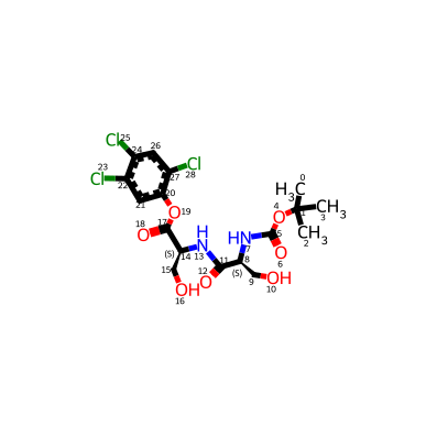 CC(C)(C)OC(=O)N[C@@H](CO)C(=O)N[C@@H](CO)C(=O)Oc1cc(Cl)c(Cl)cc1Cl